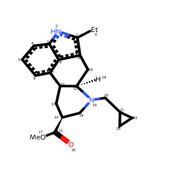 CCc1[nH]c2cccc3c2c1C[C@@H]1C3C[C@H](C(=O)OC)CN1CC1CC1